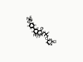 CC(C)(COc1ccnc(Cl)n1)CN(N)C(=O)c1cc(-c2ccc(OC(F)(F)F)cc2)ccc1N